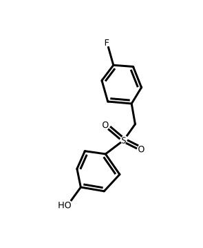 O=S(=O)(Cc1ccc(F)cc1)c1ccc(O)cc1